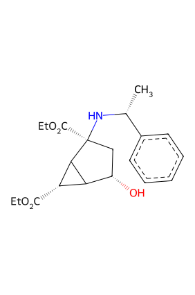 CCOC(=O)[C@H]1C2C1[C@](N[C@H](C)c1ccccc1)(C(=O)OCC)C[C@@H]2O